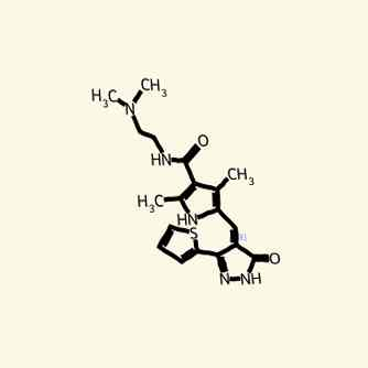 Cc1[nH]c(/C=C2/C(=O)NN=C2c2cccs2)c(C)c1C(=O)NCCN(C)C